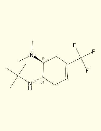 CN(C)[C@H]1CC(C(F)(F)F)=CC[C@@H]1NC(C)(C)C